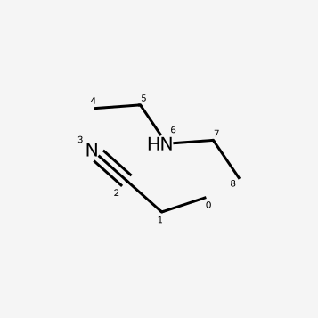 CCC#N.CCNCC